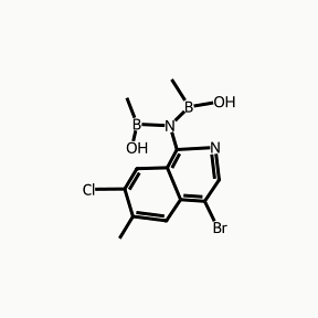 CB(O)N(B(C)O)c1ncc(Br)c2cc(C)c(Cl)cc12